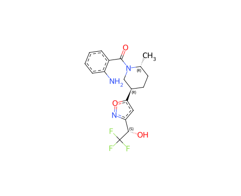 C[C@@H]1CC[C@@H](c2cc([C@H](O)C(F)(F)F)no2)CN1C(=O)c1ccccc1N